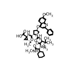 C=C[C@@H]1C[C@]1(NC(=O)[C@@H]1C[C@@H](Oc2cc(-c3ccccc3)nc3cc(OC)ccc23)CN1C(=O)NC(C(=O)N[C@H](C(=O)NC)C1CCCCC1)C(C)(C)C)C(=O)O